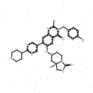 Cc1nc2cc(-c3cnc(C4CCOCC4)nc3)c(O[C@H]3CCN4C(=O)OC[C@@H]4C3)cc2c(=O)n1Cc1ccc(Cl)cc1